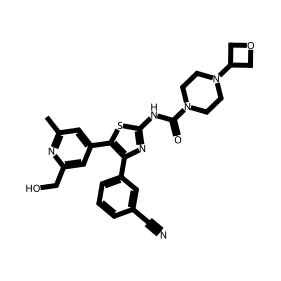 Cc1cc(-c2sc(NC(=O)N3CCN(C4COC4)CC3)nc2-c2cccc(C#N)c2)cc(CO)n1